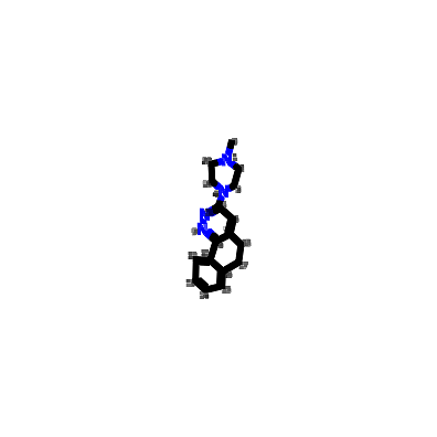 CN1CCN(c2cc3c(nn2)-c2ccccc2CC3)CC1